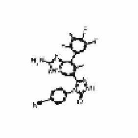 Cc1c(F)c(F)cc(-c2c(C)c(-c3n[nH]c(=O)n3-c3ccc(C#N)cc3)cn3nc(N)nc23)c1F